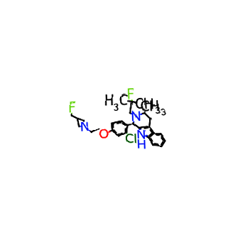 C[C@@H]1Cc2c([nH]c3ccccc23)[C@@H](c2ccc(OCCN3CC(CF)C3)cc2Cl)N1CC(C)(C)F